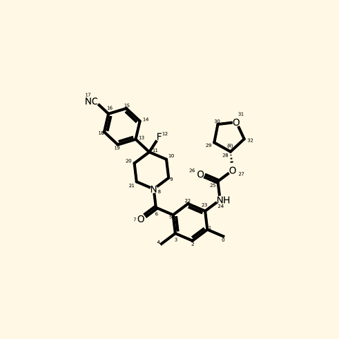 Cc1cc(C)c(C(=O)N2CCC(F)(c3ccc(C#N)cc3)CC2)cc1NC(=O)O[C@@H]1CCOC1